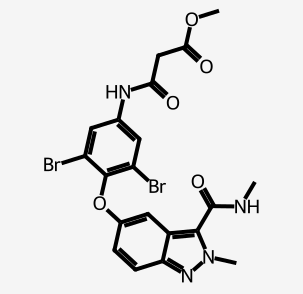 CNC(=O)c1c2cc(Oc3c(Br)cc(NC(=O)CC(=O)OC)cc3Br)ccc2nn1C